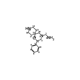 NCN1CC(c2ccccc2)OC2(CCNCC2)C1